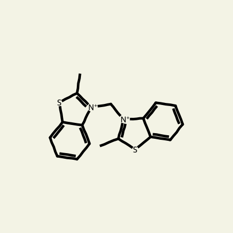 Cc1sc2ccccc2[n+]1C[n+]1c(C)sc2ccccc21